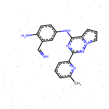 Cc1cccc(-c2nc(Nc3ccc(N)c(C=N)c3)c3cccn3n2)n1